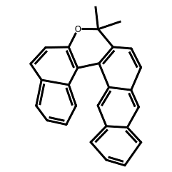 CC1(C)Oc2ccc3ccccc3c2-c2c1ccc1cc3ccccc3cc21